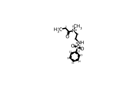 CCC(=O)N(C)CCNS(=O)(=O)c1ccccc1